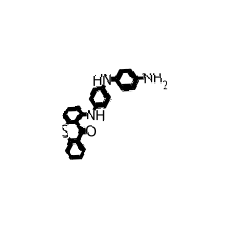 Nc1ccc(Nc2ccc(Nc3cccc4sc5ccccc5c(=O)c34)cc2)cc1